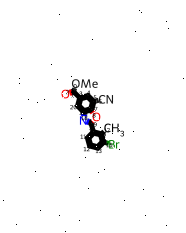 COC(=O)c1cc(C#N)c2oc(-c3cccc(Br)c3C)nc2c1